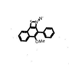 COc1c(-c2ccccc2)c2c(c3ccccc13)S[N+]2=[N-]